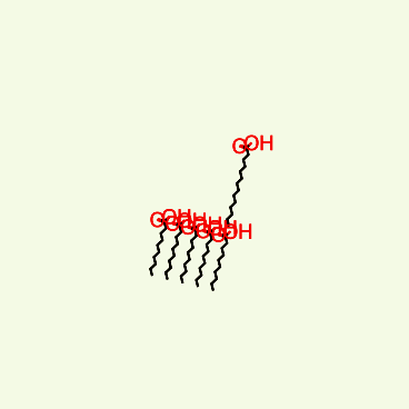 CCCCCCCCCC(=O)O.CCCCCCCCCC(=O)O.CCCCCCCCCC(=O)O.CCCCCCCCCC(=O)O.CCCCCCCCCC(=O)O.CCCCCCCCCCCCCC(=O)O